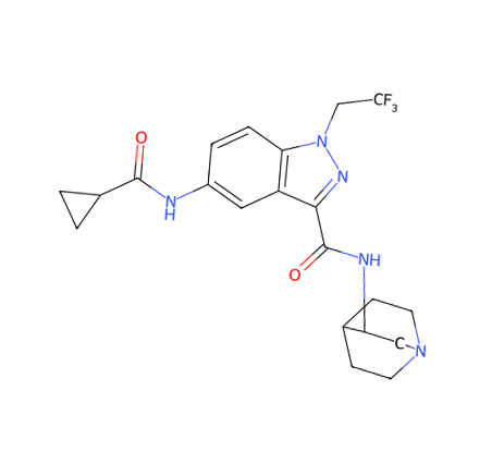 O=C(NC1CN2CCC1CC2)c1nn(CC(F)(F)F)c2ccc(NC(=O)C3CC3)cc12